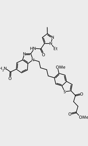 CCn1nc(C)cc1C(=O)Nc1nc2cc(C(N)=O)ccc2n1CCCCc1cc2sc(C(=O)CCC(=O)OC)cc2cc1OC